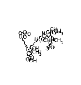 CON(C)C(=O)C(/C=C1\CN=C(/C=C/C=C/C=C/C=C2/N(CCCCCC(=O)ON3C(=O)CCC3=O)c3ccc(S(=O)(=O)O)cc3C2(C)C)C1(C)C)=C/N(C)CCC[SH](=O)=O